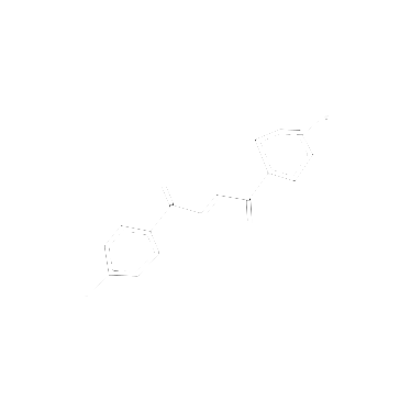 O=C(/C=C/C(=O)c1ccc(Br)cc1)c1ccc(Br)cc1